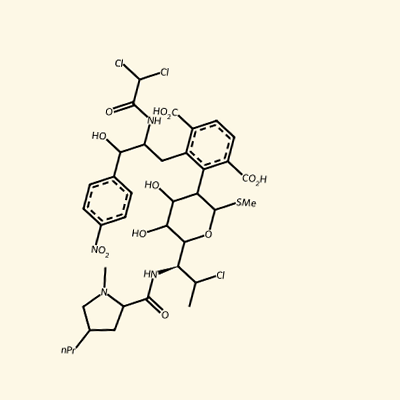 CCCC1CC(C(=O)N[C@H](C(C)Cl)C2OC(SC)C(c3c(C(=O)O)ccc(C(=O)O)c3CC(NC(=O)C(Cl)Cl)C(O)c3ccc([N+](=O)[O-])cc3)C(O)C2O)N(C)C1